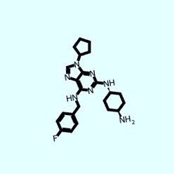 N[C@H]1CC[C@H](Nc2nc(NCc3ccc(F)cc3)c3ncn(C4CCCC4)c3n2)CC1